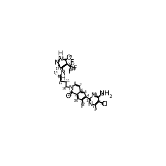 Cc1nc(-c2cc3ccn(CCC[C@H](C)Nc4cn[nH]c(=O)c4C(F)(F)F)c(=O)c3cc2F)nc(N)c1Cl